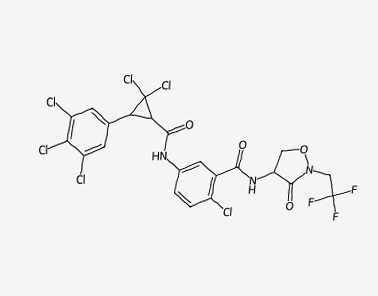 O=C(NC1CON(CC(F)(F)F)C1=O)c1cc(NC(=O)C2C(c3cc(Cl)c(Cl)c(Cl)c3)C2(Cl)Cl)ccc1Cl